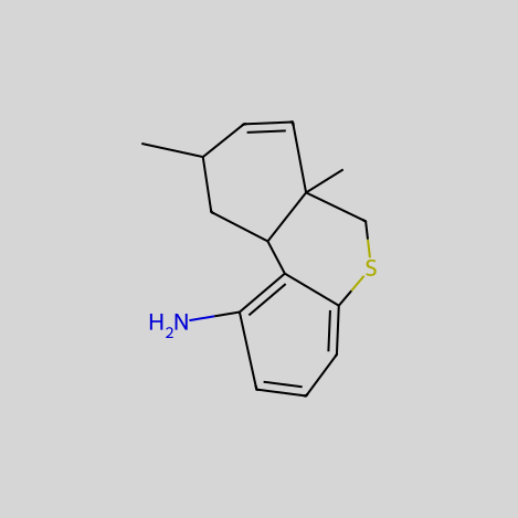 CC1C=CC2(C)CSc3cccc(N)c3C2C1